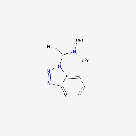 CCCN(CCC)C(C)n1nnc2ccccc21